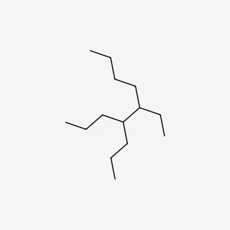 CCCCC(CC)C(CCC)CCC